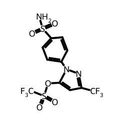 NS(=O)(=O)c1ccc(-n2nc(C(F)(F)F)cc2OS(=O)(=O)C(F)(F)F)cc1